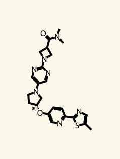 Cc1cnc(-c2ccc(O[C@@H]3CCN(c4cnc(N5CC(C(=O)N(C)C)C5)nc4)C3)cn2)s1